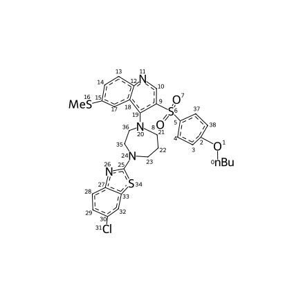 CCCCOc1ccc(S(=O)(=O)c2cnc3ccc(SC)cc3c2N2CCCN(c3nc4ccc(Cl)cc4s3)CC2)cc1